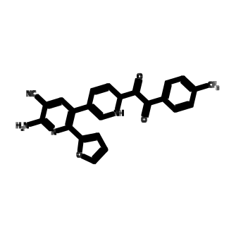 N#Cc1cc(C2=CNC(C(=O)C(=O)c3ccc(C(F)(F)F)cc3)C=C2)c(-c2ccco2)nc1N